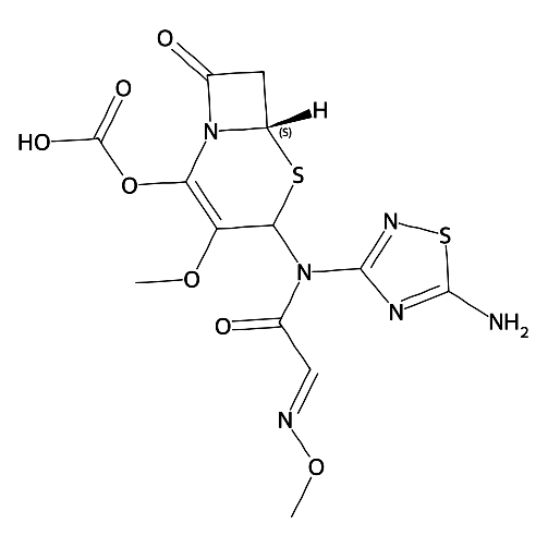 CON=CC(=O)N(c1nsc(N)n1)C1S[C@H]2CC(=O)N2C(OC(=O)O)=C1OC